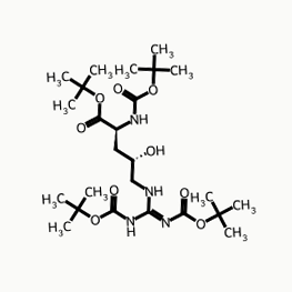 CC(C)(C)OC(=O)/N=C(\NC[C@@H](O)C[C@H](NC(=O)OC(C)(C)C)C(=O)OC(C)(C)C)NC(=O)OC(C)(C)C